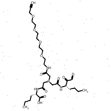 C#CCOCCOCCOCCOCCNC(=O)CN(CC(=O)N[C@@H](CCCC)C(=O)O)CC(=O)N[C@@H](CCCC)C(=O)C=O